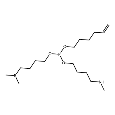 C=CCCCCOP(OCCCCNC)OCCCCB(C)C